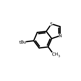 Cc1cc(C(C)(C)C)cc2scnc12